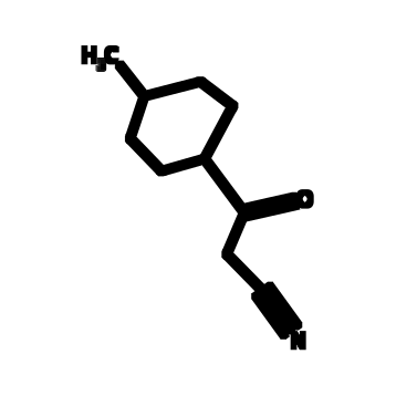 CC1CCC(C(=O)CC#N)CC1